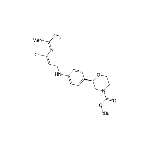 CN/C(=N\C(Cl)=C/CNc1ccc([C@@H]2CN(C(=O)OC(C)(C)C)CCO2)cc1)C(F)(F)F